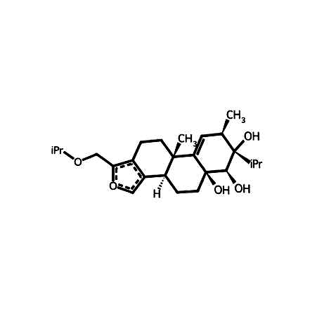 CC(C)OCc1occ2c1CC[C@]1(C)C3=C[C@@H](C)[C@@](O)(C(C)C)[C@@H](O)[C@]3(O)CC[C@@H]21